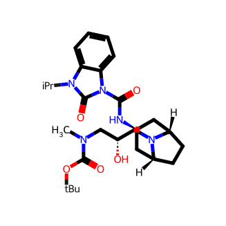 CC(C)n1c(=O)n(C(=O)N[C@@H]2C[C@H]3CC[C@@H](C2)N3C[C@H](O)CN(C)C(=O)OC(C)(C)C)c2ccccc21